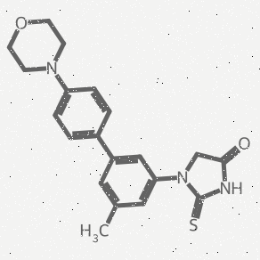 Cc1cc(-c2ccc(N3CCOCC3)cc2)cc(N2CC(=O)NC2=S)c1